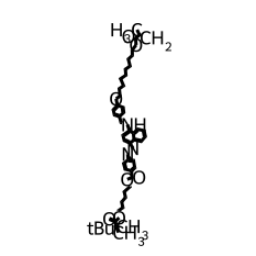 C=C(C)C(=O)OCCCCCCCCCCOc1ccc(CNc2ccc(/N=N/c3ccc(C(=O)OCCCCCCOC(=O)C(C)(C)C(C)(C)C)cc3)c3ccccc23)cc1